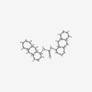 O=C(Oc1cccc2cc3ccccc3cc12)Oc1cccc2cc3ccccc3cc12